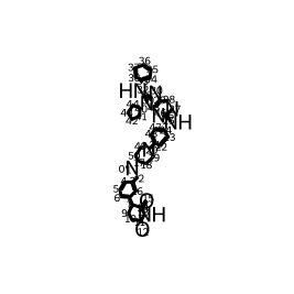 CN(Cc1cccc(C2CCC(=O)NC2=O)c1)C1CCN(c2ccc(Nc3ncc4nc(Nc5ccccc5)n(C5CCCC5)c4n3)cc2)CC1